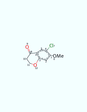 COc1cc2c(cc1Cl)C(=O)CCO2